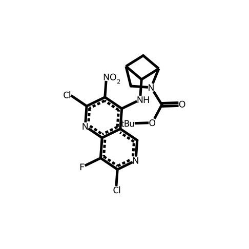 CC(C)(C)OC(=O)N1CC2CC1C2Nc1c([N+](=O)[O-])c(Cl)nc2c(F)c(Cl)ncc12